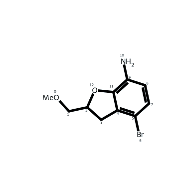 COCC1Cc2c(Br)ccc(N)c2O1